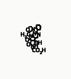 Cn1c(=O)c(C(=O)NCC(=O)O)c(O)c2cnc(-c3ccccc3N3CCOCC3)nc21